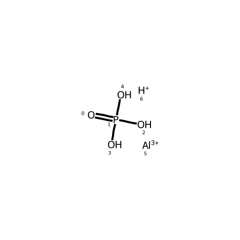 O=P(O)(O)O.[Al+3].[H+]